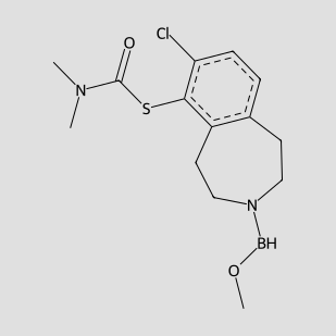 COBN1CCc2ccc(Cl)c(SC(=O)N(C)C)c2CC1